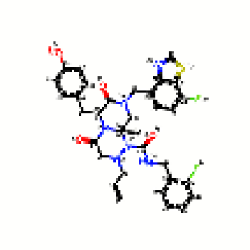 C=CCN1CC(=O)N2[C@@H](Cc3ccc(O)cc3)C(=O)N(Cc3ccc(F)c4scnc34)C[C@@H]2N1C(=O)NCc1ccccc1F